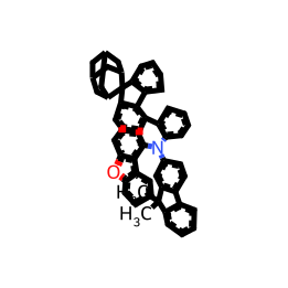 CC1(C)c2ccccc2-c2ccc(N(c3ccccc3-c3cccc4c3-c3ccccc3C43C4CC5CC(C4)CC3C5)c3cccc4oc5ccccc5c34)cc21